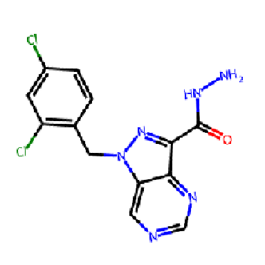 NNC(=O)c1nn(Cc2ccc(Cl)cc2Cl)c2cncnc12